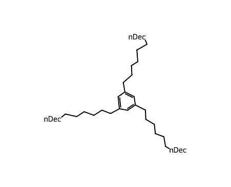 CCCCCCCCCCCCCCCCc1cc(CCCCCCCCCCCCCCCC)cc(CCCCCCCCCCCCCCCC)c1